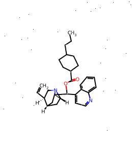 C=C[C@H]1C[N@@]2CC[C@H]1C[C@H]2C(OC(=O)C1CCC(CCC)CC1)c1ccnc2ccccc12